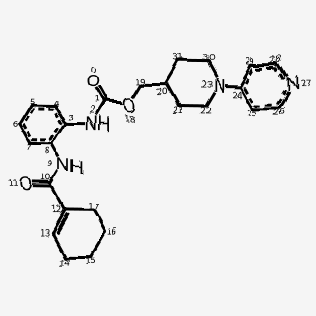 O=C(Nc1ccccc1NC(=O)C1=CCCCC1)OCC1CCN(c2ccncc2)CC1